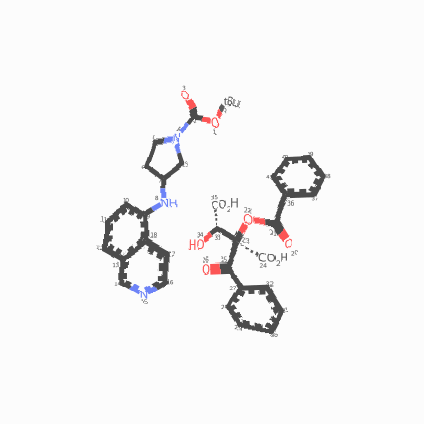 CC(C)(C)OC(=O)N1CCC(Nc2cccc3cnccc23)C1.O=C(O[C@@](C(=O)O)(C(=O)c1ccccc1)[C@H](O)C(=O)O)c1ccccc1